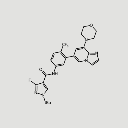 CC(C)(C)n1cc(C(=O)Nc2cc(-c3cc(N4CCOCC4)c4nccn4c3)c(C(F)(F)F)cn2)c(F)n1